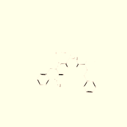 CC(C)C[C@H](NC(=O)C(C)CCc1ccccc1)C(=O)NC(Cc1ccccc1)C(=O)NN